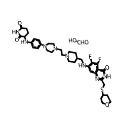 O=C1CCC(Nc2ccc(N3CCN(CCN4CCC(CNc5cc6nc(CSC7CCOCC7)[nH]c(=O)c6c(F)c5F)CC4)CC3)cc2)C(=O)N1.O=CO